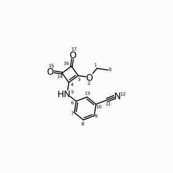 CCOc1c(Nc2cccc(C#N)c2)c(=O)c1=O